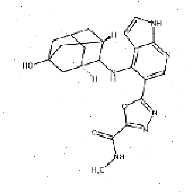 CNC(=O)c1nnc(-c2cnc3[nH]ccc3c2NC2[C@@H]3CC4C[C@H]2CC(O)(C4)C3)o1